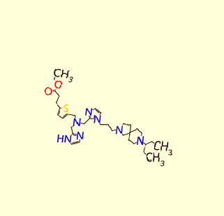 CCOC(=O)CCc1ccc(CN(Cc2ncc[nH]2)Cc2nccn2CCCN2CCC3(CCN(C(CC)CC)CC3)C2)s1